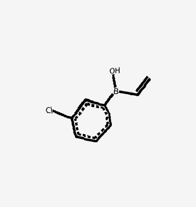 C=CB(O)c1cccc(Cl)c1